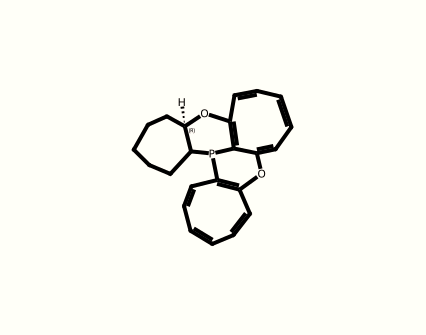 c1cccc2c(cc1)oc1cccccc3c1p2C1CCCCC[C@H]1O3